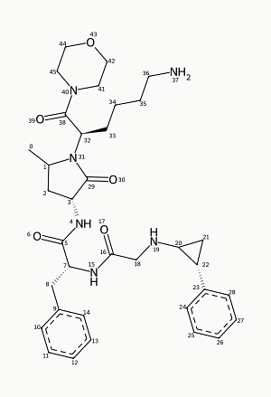 CC1C[C@@H](NC(=O)[C@@H](Cc2ccccc2)NC(=O)CNC2C[C@@H]2c2ccccc2)C(=O)N1[C@H](CCCCN)C(=O)N1CCOCC1